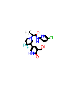 CC(C(=O)Nc1ccc(Cl)cn1)N1CCC(F)(F)C(c2c[nH]c(=O)c(CO)c2)C1